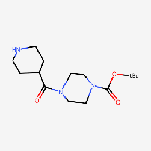 CC(C)(C)OC(=O)N1CCN(C(=O)C2CCNCC2)CC1